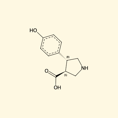 O=C(O)[C@@H]1CNC[C@H]1c1ccc(O)cc1